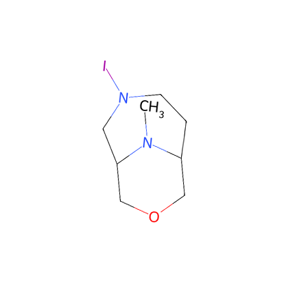 CN1C2CCN(I)CC1COC2